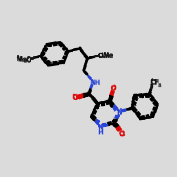 COc1ccc(CC(CNC(=O)c2c[nH]c(=O)n(-c3cccc(C(F)(F)F)c3)c2=O)OC)cc1